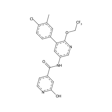 Cc1cc(-c2cc(NC(=O)c3ccnc(O)c3)cnc2OCC(F)(F)F)ccc1Cl